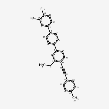 CCc1cc(-c2ccc(-c3ccc(F)c(F)c3)cc2)ccc1C#Cc1ccc(C)cc1